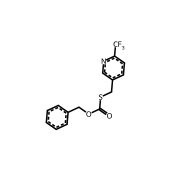 O=C(OCc1ccccc1)SCc1ccc(C(F)(F)F)nc1